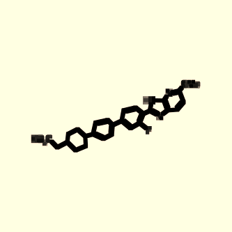 COc1ccc2nc(-c3ccc(-c4ccc(C5CCC(CC(=O)O)CC5)cc4)cc3F)[nH]c2n1